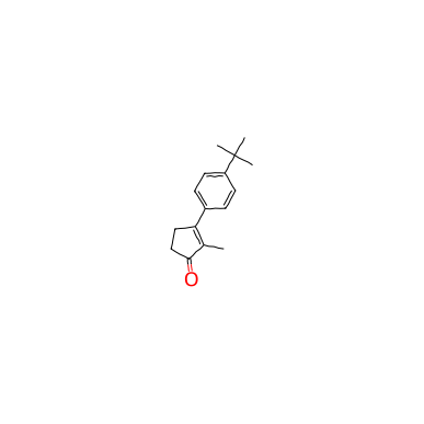 CC1=C(c2ccc(C(C)(C)C)cc2)CCC1=O